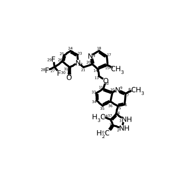 C=C1NNC(c2cc(C)nc3c(OCc4c(C)ccnc4Cn4cccc(C(F)(F)F)c4=O)cccc23)=C1C